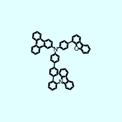 c1ccc(-n2c3ccccc3c3ccccc32)c(-c2ccc(-c3ccc(N(c4ccc(-c5cccc6c5oc5ccccc56)cc4)c4ccc5c6ccccc6c6ccccc6c5c4)cc3)cc2)c1